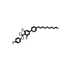 CCCCCCCCCCC1=CCC(c2cc(F)c(C(=O)Oc3ccc(F)cc3)c(F)c2)C=C1